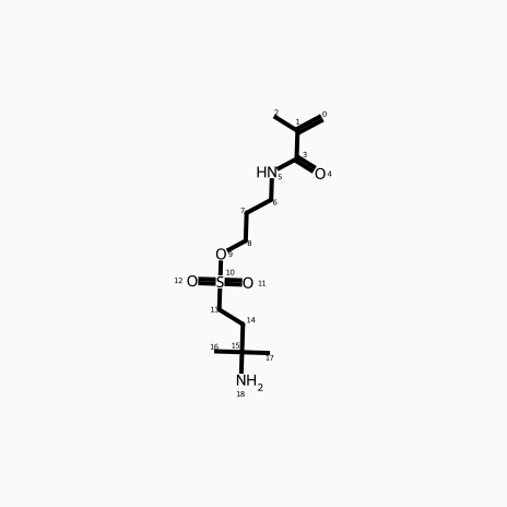 C=C(C)C(=O)NCCCOS(=O)(=O)CCC(C)(C)N